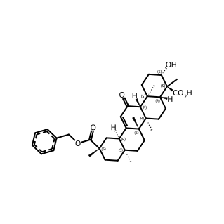 C[C@]1(C(=O)OCc2ccccc2)CC[C@]2(C)CC[C@]3(C)C(=CC(=O)[C@@H]4[C@@]5(C)CC[C@H](O)[C@@](C)(C(=O)O)[C@@H]5CC[C@]43C)[C@@H]2C1